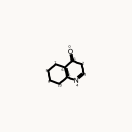 O=C1CC=NC2=C1CCCC2